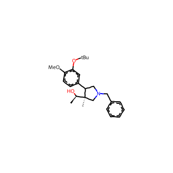 COc1ccc(C2CN(Cc3ccccc3)C[C@@]2(C)[C@@H](C)O)cc1OC(C)(C)C